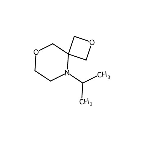 CC(C)N1CCOCC12COC2